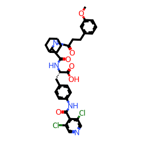 COc1cccc(CCC(=O)N2C3CCC(CC3)C2C(=O)N[C@@H](Cc2ccc(NC(=O)c3c(Cl)cncc3Cl)cc2)C(=O)O)c1